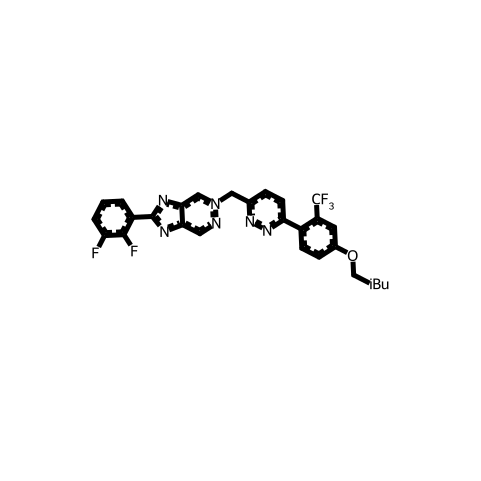 CCC(C)COc1ccc(-c2ccc(Cn3cc4nc(-c5cccc(F)c5F)nc-4cn3)nn2)c(C(F)(F)F)c1